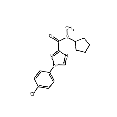 CN(C(=O)c1ncn(-c2ccc(Cl)cc2)n1)C1CCCC1